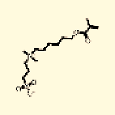 C=C(C)C(=O)OCCCCCC[N+](C)(C)CCCS(=O)(=O)[O-]